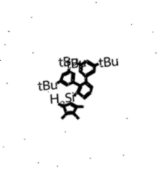 CC1=C(C)C(C)C([SiH2]c2cccc(-c3cc(C(C)(C)C)cc(C(C)(C)C)c3)c2-c2cc(C(C)(C)C)cc(C(C)(C)C)c2)=C1C